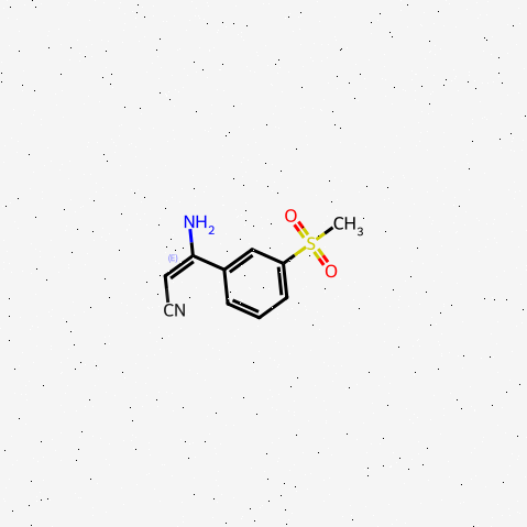 CS(=O)(=O)c1cccc(/C(N)=C\C#N)c1